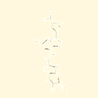 FC(F)n1cc(-c2cnc3c(NCc4nc5cc(Cl)c(Cl)cc5[nH]4)nc(Br)cn23)cn1